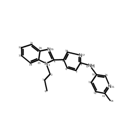 CCCn1c(-c2ccc(Nc3ccc(C)nc3)nc2)nc2ccccc21